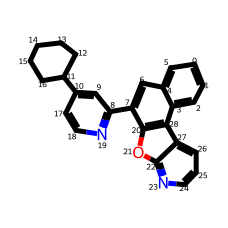 c1ccc2c(c1)cc(-c1cc(C3CCCCC3)ccn1)c1oc3ncccc3c12